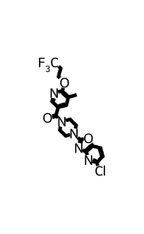 Cc1cc(C(=O)N2CCN(c3nc4nc(Cl)ccc4o3)CC2)cnc1OCCC(F)(F)F